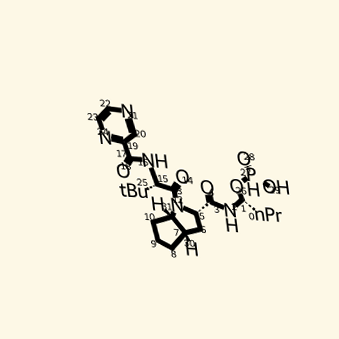 CCC[C@H](NC(=O)[C@@H]1C[C@@H]2CCC[C@@H]2N1C(=O)[C@@H](NC(=O)c1cnccn1)C(C)(C)C)O[PH](=O)O